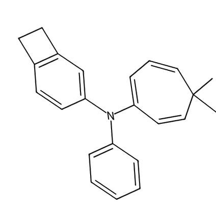 CC1(C)C=CC=C(N(c2ccccc2)c2ccc3c(c2)CC3)C=C1